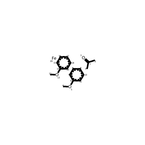 CC(C)=O.COc1ccccc1.COc1ccccc1.[Fe]